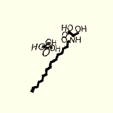 CCCCCCCCCCCCCCCC(=O)NC(CO)C(=O)O.O=P(O)(O)O